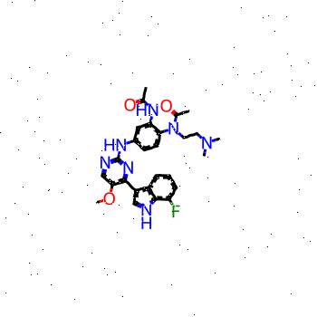 COc1cnc(Nc2ccc(N(CCN(C)C)C(C)=O)c(NC(C)=O)c2)nc1-c1c[nH]c2c(F)cccc12